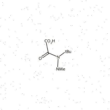 CNN(C(=O)C(=O)O)C(C)(C)C